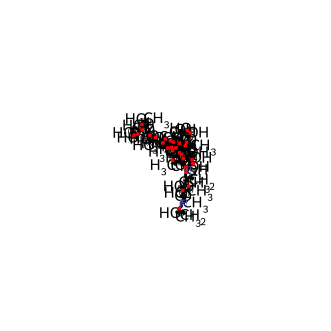 C=C[C@](C)(O)CC/C=C(\C)C(=O)O[C@H]1[C@H](O)[C@@H](O)[C@H](O[C@@](C)(C=C)CC/C=C(\CO)C(=O)O[C@H]2C[C@]3(C(=O)O[C@@H]4O[C@H](CO)[C@@H](O)[C@H](O)[C@H]4O[C@@H]4O[C@@H](C)[C@H](O[C@@H]5O[C@@H](CO)[C@H](O)[C@H]5O)[C@@H](O[C@@H]5O[C@H](CO)[C@@H](O)[C@H](O)[C@H]5O)[C@H]4O)[C@H](O)C[C@]4(C)C(=CC[C@@H]5[C@@]6(C)CC[C@H](O[C@@H]7O[C@H](CO[C@@H]8O[C@H](C)[C@H](O)[C@H](O)[C@H]8O[C@@H]8OC[C@@H](O)[C@H](O)[C@H]8O)[C@@H](O)[C@H](O)[C@H]7NC(C)=O)C(C)(C)[C@@H]6CC[C@]54C)[C@@H]3CC2(C)C)O[C@@H]1C